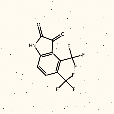 O=C1Nc2ccc(C(F)(F)F)c(C(F)(F)F)c2C1=O